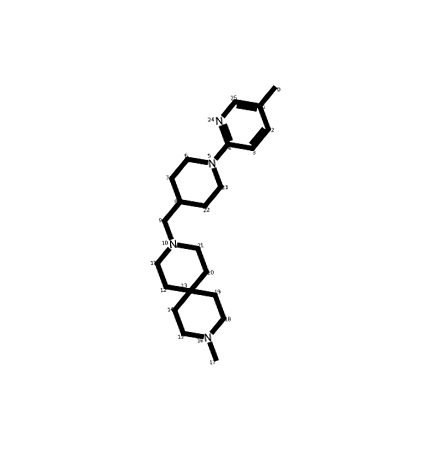 Cc1ccc(N2CCC(CN3CCC4(CCN(C)CC4)CC3)CC2)nc1